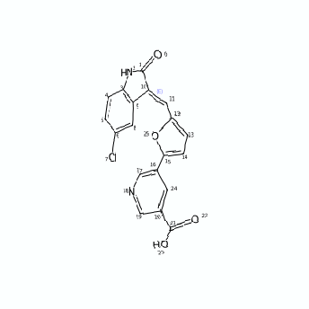 O=C1Nc2ccc(Cl)cc2/C1=C\c1ccc(-c2cncc(C(=O)O)c2)o1